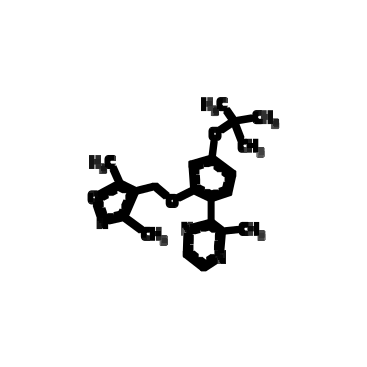 Cc1nccnc1-c1ccc(OC(C)(C)C)cc1OCc1c(C)noc1C